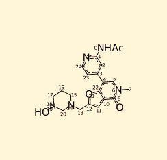 CC(=O)Nc1cc(-c2cn(C)c(=O)c3cc(CN4CCC[C@H](O)C4)oc23)ccn1